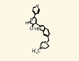 CN1CCN(Cc2ccc3cc(-c4cc(-c5ccncc5)n[nH]c4=O)[nH]c3c2)CC1